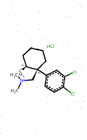 C[C@H]1CCCC[C@]1(CN(C)C)c1ccc(Cl)c(Cl)c1.Cl